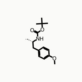 [CH2][C@@H](Cc1ccc(OC)cc1)NC(=O)OC(C)(C)C